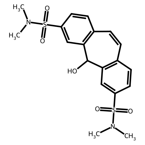 CN(C)S(=O)(=O)c1ccc2c(c1)C(O)c1cc(S(=O)(=O)N(C)C)ccc1C=C2